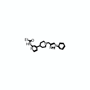 CCC(=O)Nc1cc(C2CCN(Cc3cn(-c4ccccc4)nn3)CC2)ccn1